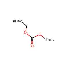 CCCCCCCOC(=O)OC(C)CCC